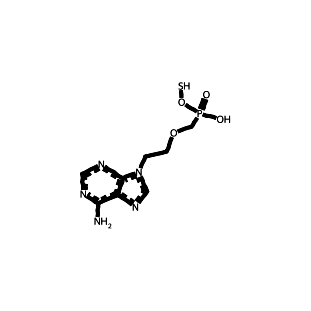 Nc1ncnc2c1ncn2CCOCP(=O)(O)OS